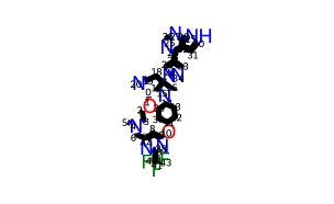 COCCN(C)Cc1cc(O[C@H]2CC[C@@H](N3CC(CC#N)(n4cc(-c5ncnc6[nH]ccc56)cn4)C3)CC2)nc(C(F)(F)F)n1